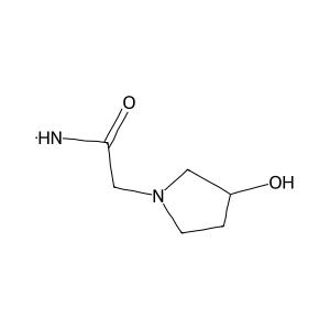 [NH]C(=O)CN1CCC(O)C1